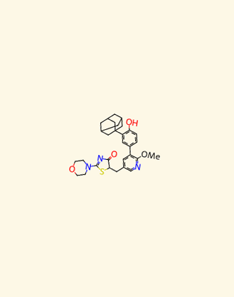 COc1ncc(CC2SC(N3CCOCC3)=NC2=O)cc1-c1ccc(O)c(C23CC4CC(CC(C4)C2)C3)c1